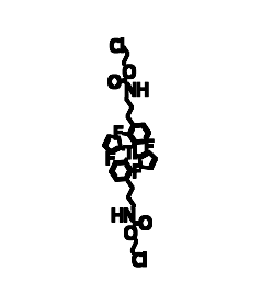 O=C(NCCCc1ccc(F)[c]([Ti]([C]2=CC=CC2)([C]2=CC=CC2)[c]2c(F)ccc(CCCNC(=O)OCCCl)c2F)c1F)OCCCl